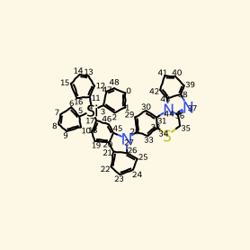 c1ccc([Si](c2ccccc2)(c2ccccc2)c2ccc3c4ccccc4n(-c4ccc5c(c4)SCc4nc6ccccc6n4-5)c3c2)cc1